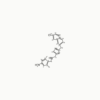 Cc1cc(N)nc(C)c1CNCc1cnc(Cc2ccc3ncc(Cl)cc3c2)o1